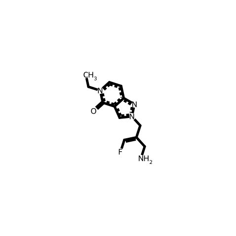 CCn1ccc2nn(CC(=CF)CN)cc2c1=O